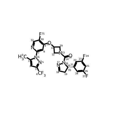 Cc1cc(C(F)(F)F)nn1-c1cc(OC2CN(C(=O)N3N=CC[C@H]3c3cc(F)cc(F)c3)C2)c(F)cn1